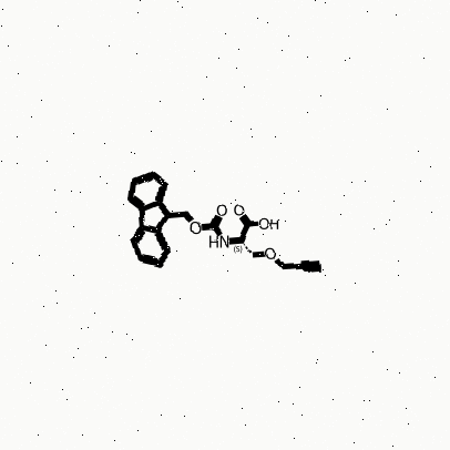 C#CCOC[C@H](NC(=O)OCC1c2ccccc2-c2ccccc21)C(=O)O